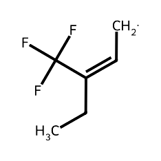 [CH2]C=C(CC)C(F)(F)F